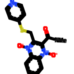 CNC(=O)c1c(CSc2ccncc2)[n+]([O-])c2ccccc2[n+]1[O-]